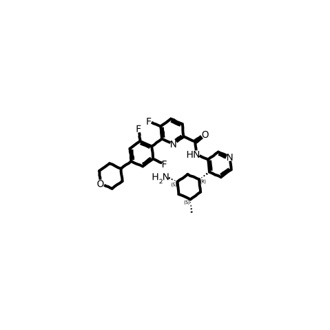 C[C@@H]1C[C@H](N)C[C@H](c2ccncc2NC(=O)c2ccc(F)c(-c3c(F)cc(C4CCOCC4)cc3F)n2)C1